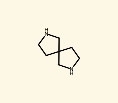 [CH]1NCCC12CCNC2